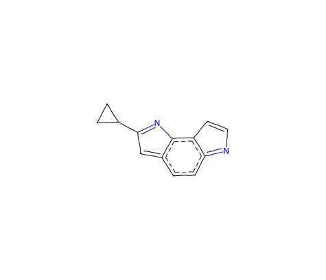 C1=Cc2c3c(ccc2=N1)=CC(C1CC1)=N3